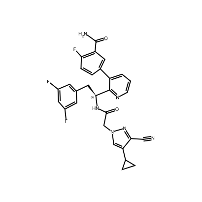 N#Cc1nn(CC(=O)N[C@@H](Cc2cc(F)cc(F)c2)c2ncccc2-c2ccc(F)c(C(N)=O)c2)cc1C1CC1